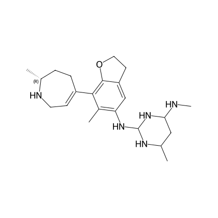 CNC1CC(C)NC(Nc2cc3c(c(C4=CCN[C@H](C)CC4)c2C)OCC3)N1